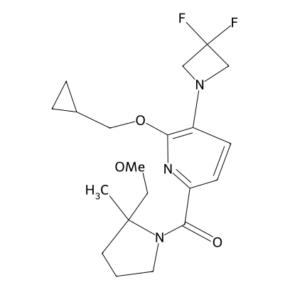 COCC1(C)CCCN1C(=O)c1ccc(N2CC(F)(F)C2)c(OCC2CC2)n1